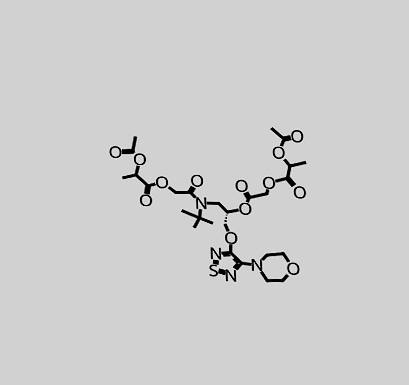 CC(=O)OC(C)C(=O)OCC(=O)O[C@H](COc1nsnc1N1CCOCC1)CN(C(=O)COC(=O)C(C)OC(C)=O)C(C)(C)C